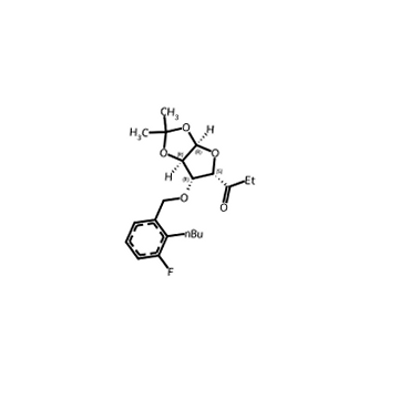 CCCCc1c(F)cccc1CO[C@@H]1[C@H]2OC(C)(C)O[C@H]2O[C@@H]1C(=O)CC